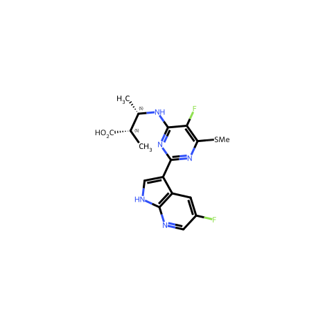 CSc1nc(-c2c[nH]c3ncc(F)cc23)nc(N[C@@H](C)[C@H](C)C(=O)O)c1F